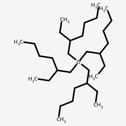 CCCCC(CC)[CH2][Zr]([CH2]C(CC)CCCC)([CH2]C(CC)CCCC)[CH2]C(CC)CCCC